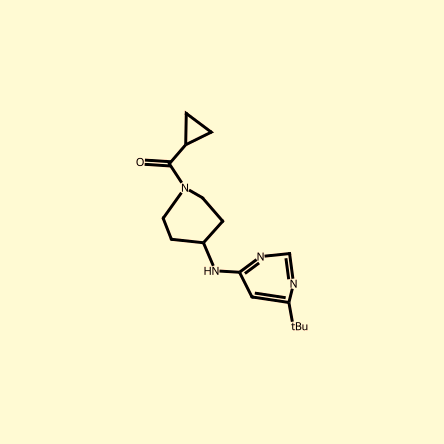 CC(C)(C)c1cc(NC2CCN(C(=O)C3CC3)CC2)ncn1